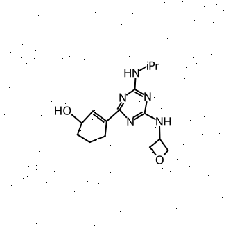 CC(C)Nc1nc(NC2COC2)nc(C2=CC(O)CCC2)n1